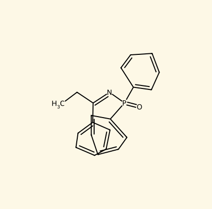 CC/C(=N/P(=O)(c1ccccc1)c1ccccc1)c1ccccc1